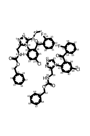 CSSc1nnc(CNC(=O)OCc2ccccc2)n1-c1ccc(Cl)cc1C(=O)c1ccccc1F.O=C(NCc1nncn1-c1ccc(Cl)cc1C(=O)c1ccccc1F)OCc1ccccc1